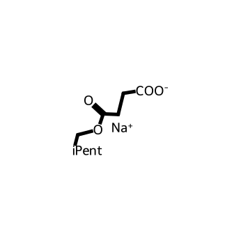 CCCC(C)COC(=O)CCC(=O)[O-].[Na+]